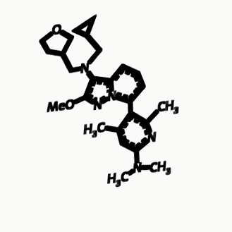 COc1nn2c(-c3c(C)cc(N(C)C)nc3C)cccc2c1N(CC1CC1)CC1CCOC1